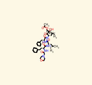 CC(=O)OC[C@@](C)(O)C(=O)[C@H](CC(C)C)NC(=O)[C@H](Cc1ccccc1)NC(=O)[C@H](CC(C)C)NC(=O)[C@H](CCc1ccccc1)NC(=O)CN1CCOCC1